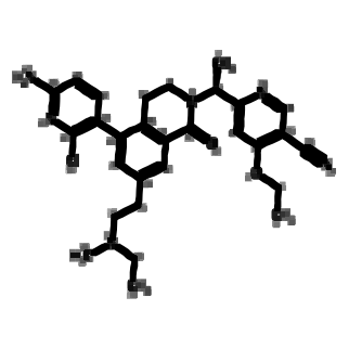 CCOc1cc([C@H](C)N2CCc3c(cc(CCN(C)CC)cc3-c3ccc(N)nc3Cl)C2=O)ncc1C#N